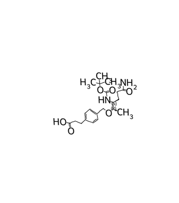 C[C@@H](OCc1ccc(CCC(=O)O)cc1)[C@H](CCC(N)=O)NC(=O)OC(C)(C)C